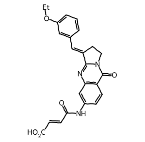 CCOc1cccc(C=C2CCn3c2nc2cc(NC(=O)C=CC(=O)O)ccc2c3=O)c1